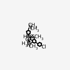 CC(C)c1cc(-c2ccc(Cl)cc2)cc(C(C)C)c1C(C(=O)Nc1ccc(CN(C)C)cc1)[SH](=O)=O